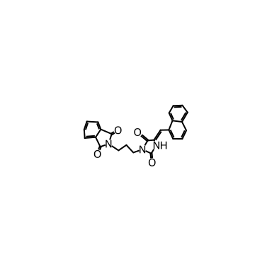 O=C1NC(=Cc2cccc3ccccc23)C(=O)N1CCCN1C(=O)c2ccccc2C1=O